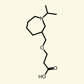 CC(C)N1CCCCC(COCCC(=O)O)C1